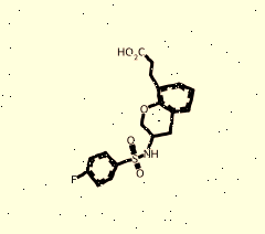 O=C(O)CCc1cccc2c1OCC(NS(=O)(=O)c1ccc(F)cc1)C2